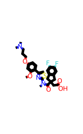 COc1cc(OCCCN(C)C)ccc1-c1csc(N(C)C(=O)C2(CC(=O)O)Cc3cc(F)c(F)cc3C2)n1